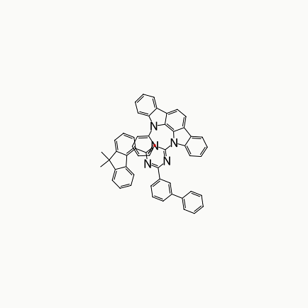 CC1(C)c2ccccc2-c2c(-c3nc(-c4cccc(-c5ccccc5)c4)nc(-n4c5ccccc5c5ccc6c7ccccc7n(-c7ccccc7)c6c54)n3)cccc21